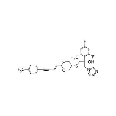 C[C@@H](S[C@H]1CO[C@H](C=CC#Cc2ccc(C(F)(F)F)cc2)OC1)[C@](O)(Cn1cncn1)c1ccc(F)cc1F